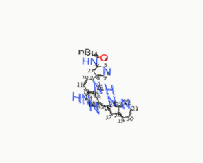 CCCCC(=O)Nc1cncc(-c2ccc3[nH]nc(-c4cc5cccnc5[nH]4)c3n2)c1